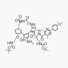 COC(=O)[C@@H]1Cc2ccc(OCCNC(=O)OC(C)(C)C)c(c2)-c2cc(cc(N)c2O)[C@H](N(C)C(=O)[C@H](CCNC(=O)OC(C)(C)C)NC(=O)c2c(C)nc(-c3ccc(C(C)(C)C)cc3)nc2C)C(=O)N[C@@H](C)C(=O)N1